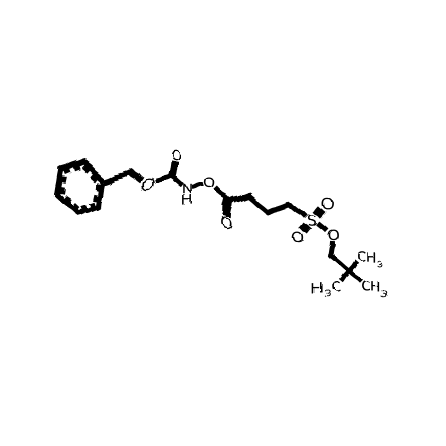 CC(C)(C)COS(=O)(=O)CCCC(=O)ONC(=O)OCc1ccccc1